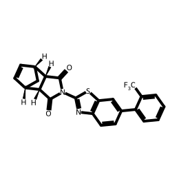 O=C1[C@@H]2[C@H](C(=O)N1c1nc3ccc(-c4ccccc4C(F)(F)F)cc3s1)[C@@H]1C=C[C@H]2C1